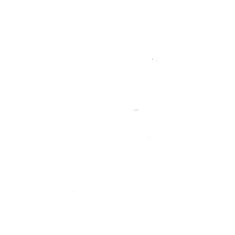 O=C(O)CCC1CCc2cc(-c3cccnc3OC3CCCC3)ccc2O1